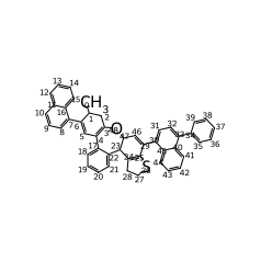 CC1CC2=C(C=C1c1cccc3ccccc13)c1ccccc1C1C3=C(SCC3)C(c3ccc(-c4ccccc4)c4ccccc34)=CC1O2